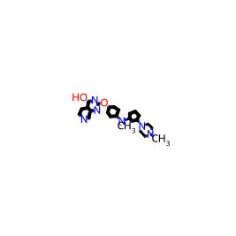 CN1CCN(c2cccc(N(C)c3ccc(Oc4nc(O)c5ccncc5n4)cc3)c2)CC1